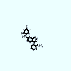 Cc1ncccc1-c1nncc2nc(Nc3ccc(F)cc3F)ccc12